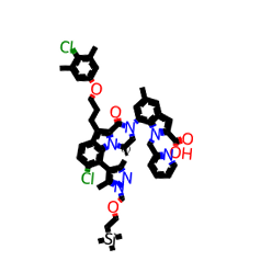 Cc1cc(N2C[C@@H](C)n3c(c(CCCOc4cc(C)c(Cl)c(C)c4)c4ccc(Cl)c(-c5c(C)nn(COCC[Si](C)(C)C)c5C)c43)C2=O)c2c(c1)cc(C(=O)O)n2Cc1ccccn1